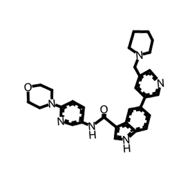 O=C(Nc1ccc(N2CCOCC2)nc1)c1c[nH]c2ccc(-c3cncc(CN4CCCCC4)c3)cc12